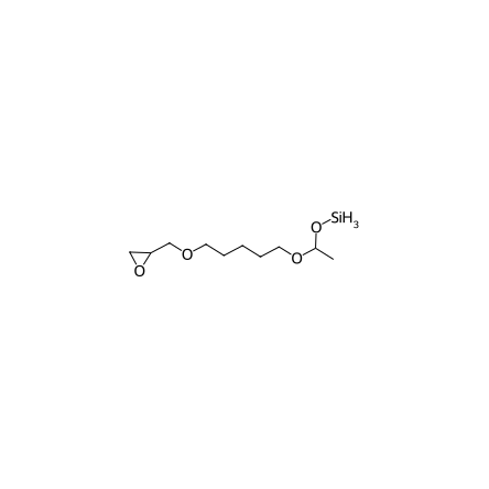 CC(O[SiH3])OCCCCCOCC1CO1